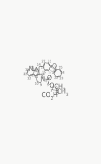 CC(C)(COCC(=O)N1CCc2c(n(Cc3ccc(Oc4ccccc4)cc3)c3ncccc23)C1)C(=O)O